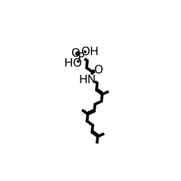 CC(C)=CCCC(C)=CCCC(C)=CCNC(=O)CCP(=O)(O)O